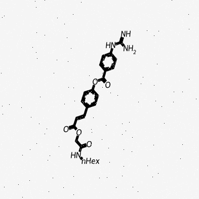 CCCCCCNC(=O)COC(=O)C=Cc1ccc(OC(=O)c2ccc(NC(=N)N)cc2)cc1